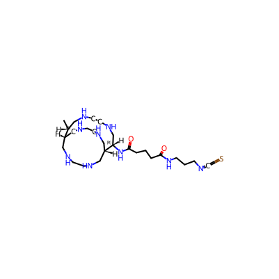 C[C@@H]1CNCCNC[C@H](NC(=O)CCCC(=O)NCCCN=C=S)[C@H]2CNCCNC[C@@H]1CNCCNC2